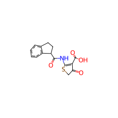 O=C(O)C1=C(NC(=O)C2CCc3ccccc32)SCC1=O